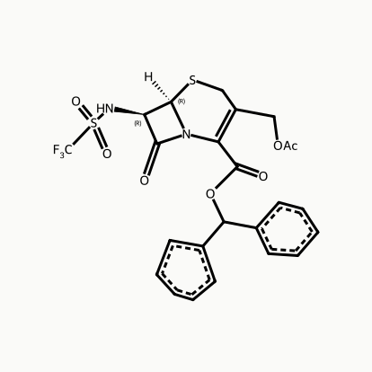 CC(=O)OCC1=C(C(=O)OC(c2ccccc2)c2ccccc2)N2C(=O)[C@@H](NS(=O)(=O)C(F)(F)F)[C@H]2SC1